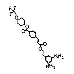 Nc1cc(N)cc(CCOC(=O)C=Cc2ccc(C(=O)OC3CCC(OCC(F)(F)F)CC3)cc2)c1